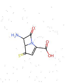 NC1C(=O)N2C(C(=O)O)=CC(=S)C12